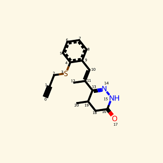 C#CCSc1ccccc1C=C(C)C1=NNC(=O)CC1C